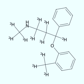 [2H]C([2H])([2H])NC([2H])([2H])C([2H])([2H])C([2H])(Oc1ccccc1C([2H])([2H])[2H])c1ccccc1